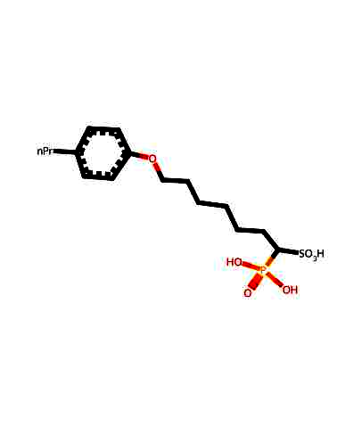 CCCc1ccc(OCCCCCCC(P(=O)(O)O)S(=O)(=O)O)cc1